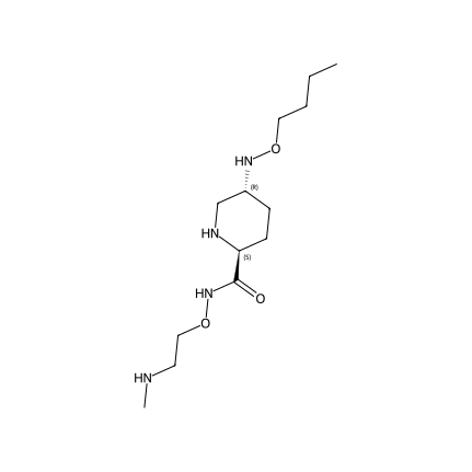 CCCCON[C@@H]1CC[C@@H](C(=O)NOCCNC)NC1